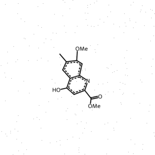 COC(=O)c1cc(O)c2cc(C)c(OC)cc2n1